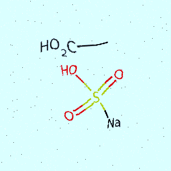 CC(=O)O.O=[S](=O)(O)[Na]